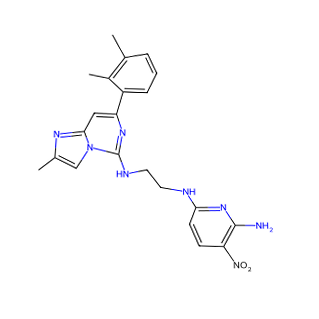 Cc1cn2c(NCCNc3ccc([N+](=O)[O-])c(N)n3)nc(-c3cccc(C)c3C)cc2n1